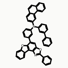 c1ccc(-c2cccc(N(c3cccc(-c4cc5oc(-c6ccccc6)nc5c5c4oc4ccccc45)c3)c3ccc4ccc5ccccc5c4c3)c2)cc1